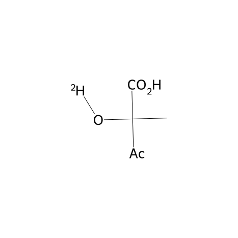 [2H]OC(C)(C(C)=O)C(=O)O